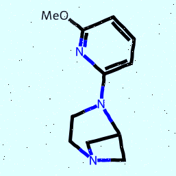 COc1cccc(N2CCN3CC2C3)n1